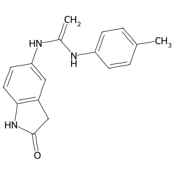 C=C(Nc1ccc(C)cc1)Nc1ccc2c(c1)CC(=O)N2